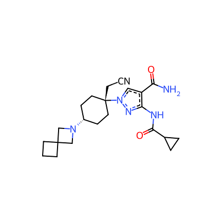 N#CC[C@]1(n2cc(C(N)=O)c(NC(=O)C3CC3)n2)CC[C@@H](N2CC3(CCC3)C2)CC1